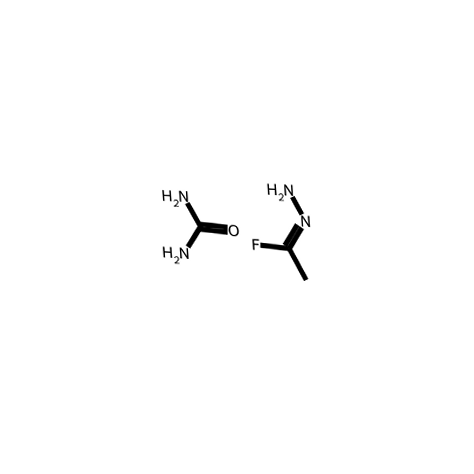 CC(F)=NN.NC(N)=O